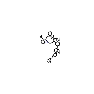 CN(C)CCCOc1ccc(-c2ccc3ncc4c(c3c2)CC/C=C(/C(=O)C2CC2)CCC(=O)N4C)cn1